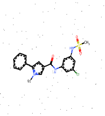 CCn1cc(C(=O)Nc2cc(Cl)cc(NS(C)(=O)=O)c2)cc1-c1ccccc1